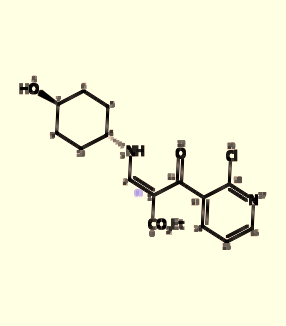 CCOC(=O)/C(=C/N[C@H]1CC[C@H](O)CC1)C(=O)c1cccnc1Cl